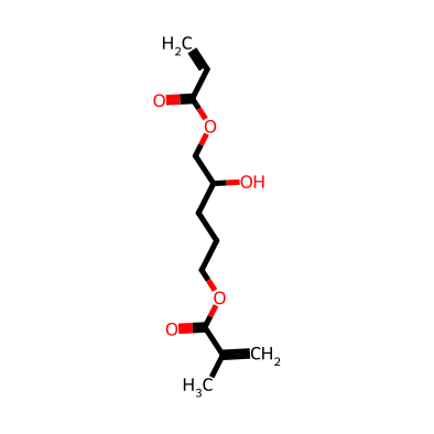 C=CC(=O)OCC(O)CCCOC(=O)C(=C)C